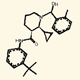 Cc1ccccc1C(O)N1CCC[C@H](C(=O)Nc2cccc(C(C)(C)C)c2)[C@@H]1C1CC1